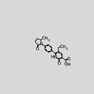 CCc1cc(C(=O)O)c(=O)[nH]c1-c1ccc(N2C(=O)CCC2C)cc1